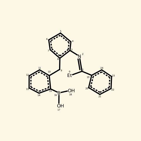 CC/C(=N\c1ccccc1Cc1ccccc1B(O)O)c1ccccc1